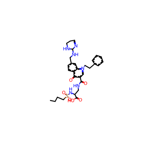 CCCCS(=O)(=O)NC(CNC(=O)c1cn(CCc2ccccc2)c2cc(CNC3N=CCCN3)ccc2c1=O)C(=O)O